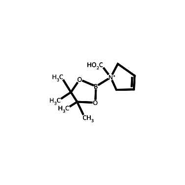 CC1(C)OB([N+]2(C(=O)O)CC=CC2)OC1(C)C